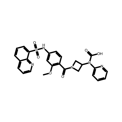 COc1cc(NS(=O)(=O)c2cccc3cccnc23)ccc1C(=O)N1CC(N(C(=O)O)c2ccccn2)C1